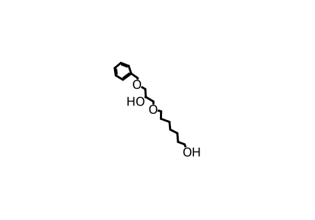 OCCCCCCCOC[C@@H](O)COCc1ccccc1